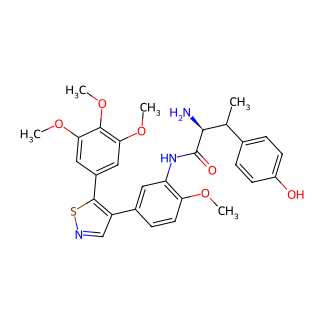 COc1ccc(-c2cnsc2-c2cc(OC)c(OC)c(OC)c2)cc1NC(=O)[C@@H](N)C(C)c1ccc(O)cc1